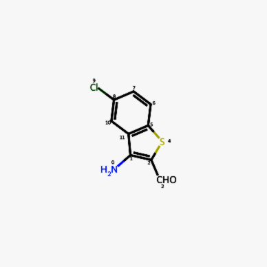 Nc1c(C=O)sc2ccc(Cl)cc12